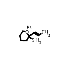 CC=CC1([SiH3])CCCCO1.[Pt]